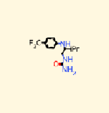 CC(C)[C@@H](CNC(N)=O)Nc1ccc(C(F)(F)F)cc1